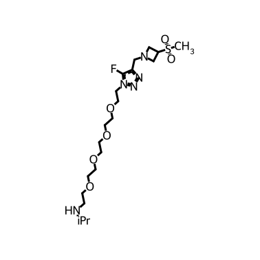 CC(C)NCCOCCOCCOCCOCCn1nnc(CN2CC(S(C)(=O)=O)C2)c1F